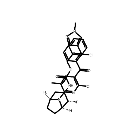 Cc1nc(C(=O)c2ccc3nn(C)cc3c2Cl)c(Cl)nc1N1[C@H]2CC[C@@H]1[C@@H](F)[C@@H](NC(=O)OCc1ccccc1)C2